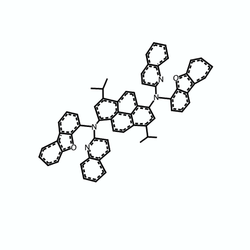 CC(C)c1cc(N(c2ccc3ccccc3n2)c2cccc3c2oc2ccccc23)c2ccc3c(C(C)C)cc(N(c4ccc5ccccc5n4)c4cccc5c4oc4ccccc45)c4ccc1c2c34